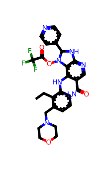 CCc1c(CN2CCOCC2)cccc1Nc1c(C(N)=O)cnc2c1N(OC(=O)C(F)(F)F)C(c1ccncc1)N2